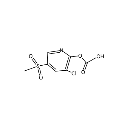 CS(=O)(=O)c1cnc(OC(=O)O)c(Cl)c1